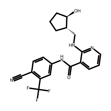 N#Cc1ccc(NC(=O)c2cccnc2NC[C@@H]2CCC[C@H]2O)cc1C(F)(F)F